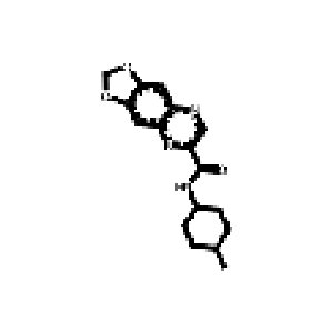 CC1CCC(NC(=O)c2cnc3cc4c(cc3n2)OCO4)CC1